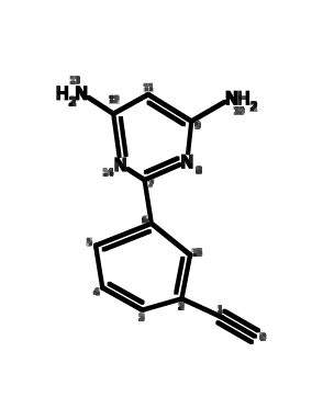 C#Cc1cccc(-c2nc(N)cc(N)n2)c1